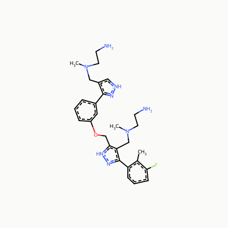 Cc1c(F)cccc1-c1n[nH]c(COc2cccc(-c3n[nH]cc3CN(C)CCN)c2)c1CN(C)CCN